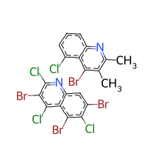 Cc1nc2cccc(Cl)c2c(Br)c1C.Clc1nc2cc(Br)c(Cl)c(Br)c2c(Cl)c1Br